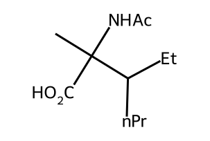 CCCC(CC)C(C)(NC(C)=O)C(=O)O